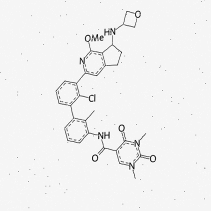 COc1nc(-c2cccc(-c3cccc(NC(=O)c4cn(C)c(=O)n(C)c4=O)c3C)c2Cl)cc2c1C(NC1COC1)CC2